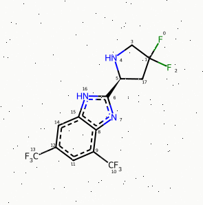 FC1(F)CN[C@H](c2nc3c(C(F)(F)F)cc(C(F)(F)F)cc3[nH]2)C1